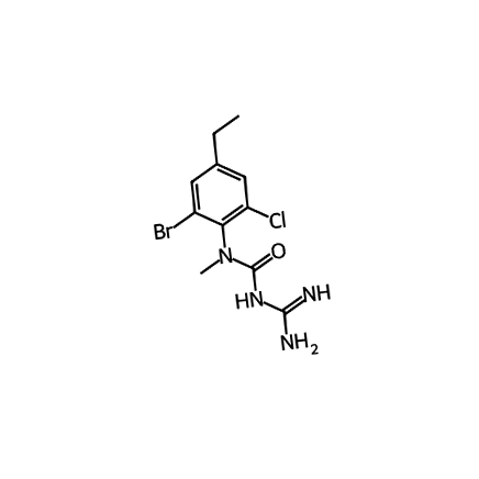 CCc1cc(Cl)c(N(C)C(=O)NC(=N)N)c(Br)c1